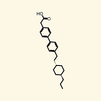 CCC[C@H]1CC[C@H](CCc2ccc(-c3ccc(CC(=O)O)cc3)cc2)CC1